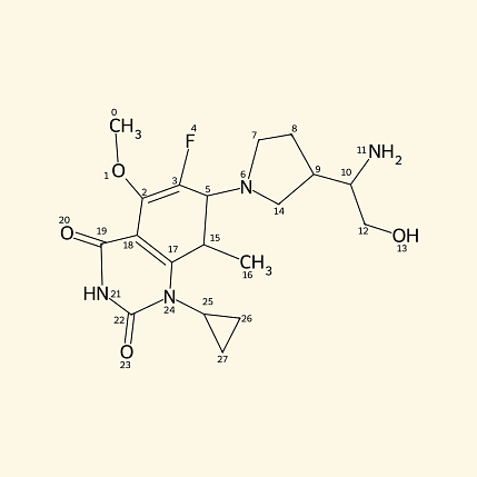 COC1=C(F)C(N2CCC(C(N)CO)C2)C(C)c2c1c(=O)[nH]c(=O)n2C1CC1